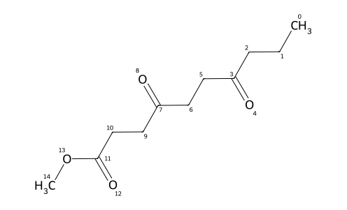 CCCC(=O)CCC(=O)CCC(=O)OC